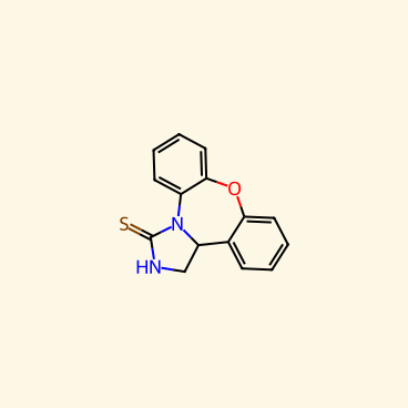 S=C1NCC2c3ccccc3Oc3ccccc3N12